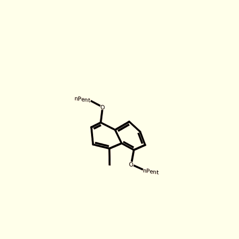 CCCCCOc1ccc(C)c2c(OCCCCC)cccc12